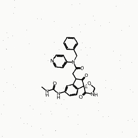 CNC(=O)Nc1ccc2c(c1)C(CC(=O)N(Cc1ccccc1)c1ccncc1)C(=O)[C@]21OCNC1=O